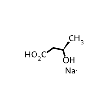 C[C@@H](O)CC(=O)O.[Na]